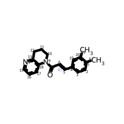 Cc1ccc(/C=C/C(=O)N2CCCc3ncccc32)cc1C